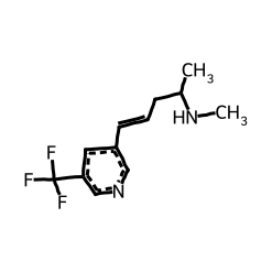 CNC(C)CC=Cc1cncc(C(F)(F)F)c1